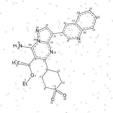 C=C(OCC)c1c(C2CCS(=O)(=O)CC2)nc2c(-c3cnc4ccccc4c3)cnn2c1N